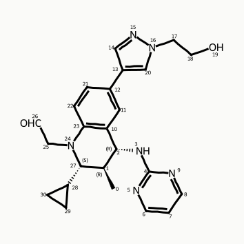 C[C@@H]1[C@@H](Nc2ncccn2)c2cc(-c3cnn(CCO)c3)ccc2N(CC=O)[C@H]1C1CC1